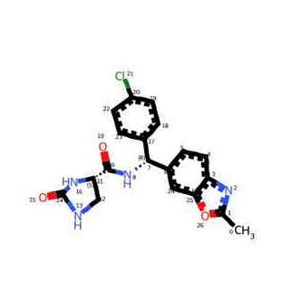 Cc1nc2ccc([C@H](NC(=O)[C@@H]3CNC(=O)N3)c3ccc(Cl)cc3)cc2o1